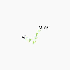 [Ar].[F-].[F-].[F-].[F-].[F-].[F-].[Mo+6]